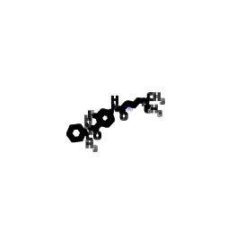 CN(C)C/C=C/C(=O)Nc1ccc(C(=O)NC2(C)CCCCC2)c(F)c1